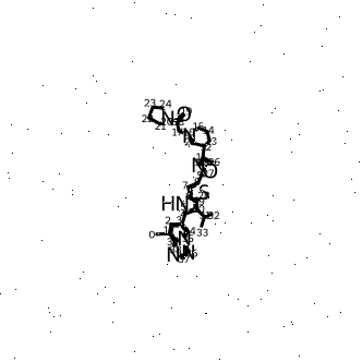 Cc1cc(-c2[nH]c3cc(-c4nc(C5CCCN(CC(=O)N6CCCC6)C5)co4)sc3c2C(C)C)cn2ncnc12